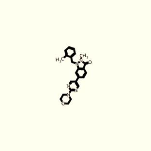 Cc1ccccc1Cn1c2cc(-c3cnc(N4CCOCC4)nc3)ccc2c(=O)n1C